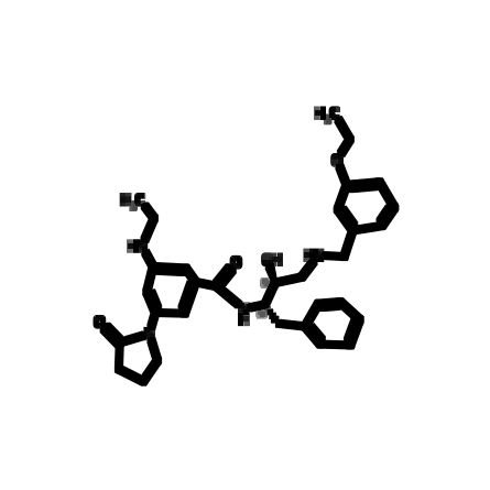 CCNc1cc(C(=O)N[C@@H](Cc2ccccc2)[C@@H](O)CNCc2cccc(OCC)c2)cc(N2CCCC2=O)c1